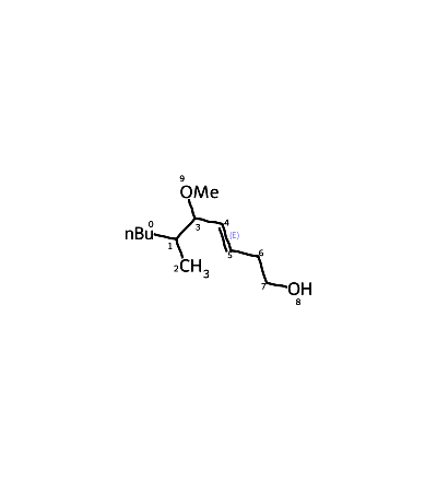 CCCCC(C)C(/C=C/CCO)OC